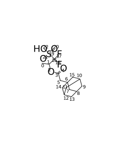 CC(OC(=O)CC12CC3CC(CC(C3)C1)C2)C(F)(F)S(=O)(=O)O